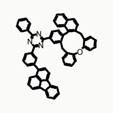 c1ccc(-c2nc(-c3cccc(-c4ccc5c6c(cccc46)-c4ccccc4-5)c3)nc(-c3ccc4c(c3)Cc3ccccc3Oc3ccccc3Cc3ccc5ccccc5c3-4)n2)cc1